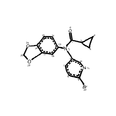 O=C(C1CC1)N(c1ccc(Br)nc1)c1ccc2c(c1)OCO2